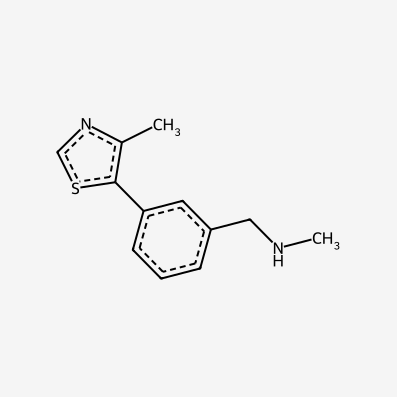 CNCc1cccc(-c2scnc2C)c1